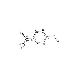 CCc1ccc([C@H](C)O)cc1